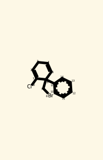 ClC1=CCC=CC1(CBr)c1ccccc1